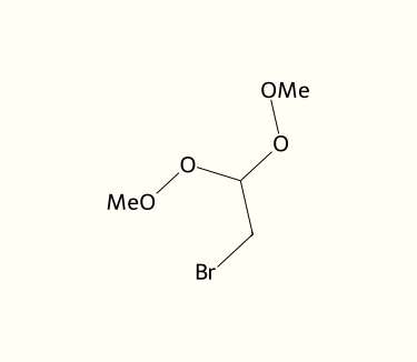 COOC(CBr)OOC